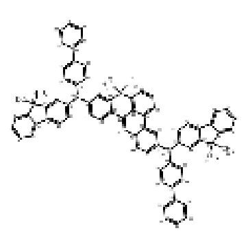 CC1(C)c2ccccc2-c2ccc(N(c3ccc(-c4ccccc4)cc3)c3ccc4c(c3)[Si](C)(C)c3cccc5c3c-4cc3ccc(N(c4ccc(-c6ccccc6)cc4)c4ccc6c(c4)C(C)(C)c4ccccc4-6)cc35)cc21